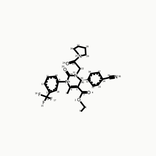 CCOC(=O)C1=C(C)N(c2cccc(C(F)(F)F)c2)C(=O)N(CC(=O)N2CCCC2)[C@@H]1c1ccc(C#N)cc1